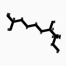 CCNC(C)CCCCC(C)C